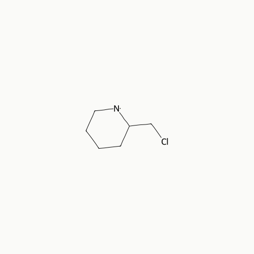 ClCC1CCCC[N]1